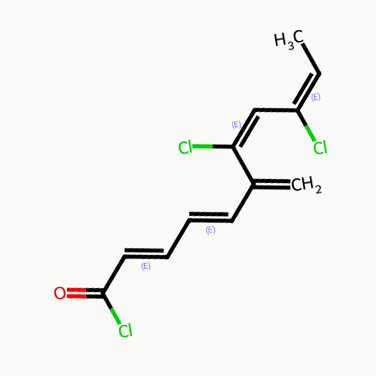 C=C(/C=C/C=C/C(=O)Cl)/C(Cl)=C\C(Cl)=C/C